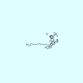 CCCCCCCCCCCCCCOc1cc(C(=O)N(Cc2cccc[n+]2CC)C(=O)c2ccccc2)ccc1OC.[I-]